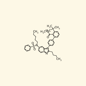 CCCCCN(c1ccc2nc(CCCC)n(-c3ccc(-c4cccc(C(C)(C)C)c4C(=O)OC)cc3)c2c1)S(=O)(=O)c1ccccc1